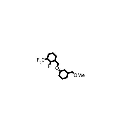 COCC1CCCC(OCC2CCCC(C(F)(F)F)C2F)C1